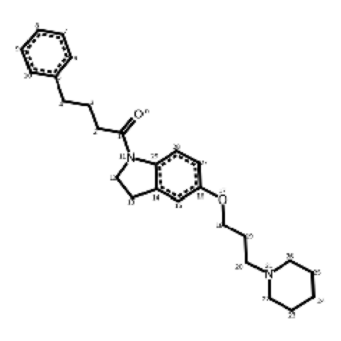 O=C(CCCc1ccccc1)N1CCc2cc(OCCCN3CCCCC3)ccc21